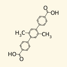 Cc1cc(-c2ccc(C(=O)O)cc2)c(C)cc1-c1ccc(C(=O)O)cc1